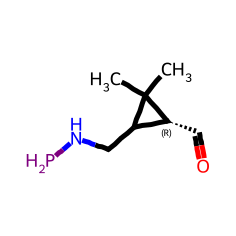 CC1(C)C(CNP)[C@H]1C=O